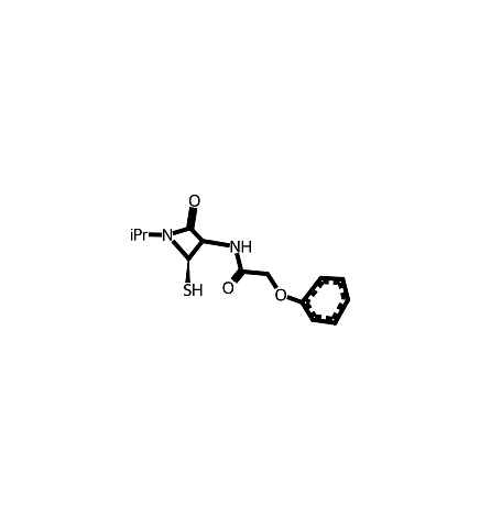 CC(C)N1C(=O)C(NC(=O)COc2ccccc2)[C@H]1S